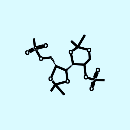 CC1(C)OCC(OS(C)(=O)=O)[C@H](C2OC(C)(C)O[C@@H]2COS(C)(=O)=O)O1